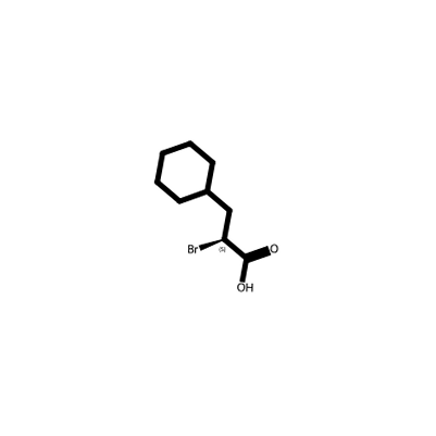 O=C(O)[C@@H](Br)CC1CCCCC1